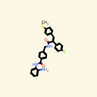 CSc1ccc(C=C(C(=O)NCc2ccc(C(=O)Nc3ccccc3N)cc2)c2ccc(F)cc2)cc1